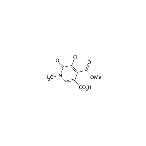 COC(=O)c1c(C(=O)O)cn(C)c(=O)c1Cl